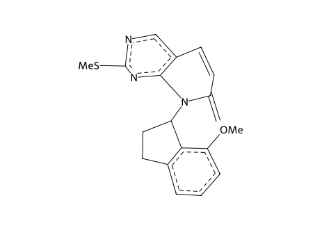 C=C1C=Cc2cnc(SC)nc2N1C1CCc2cccc(OC)c21